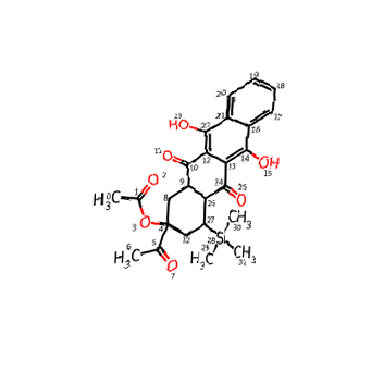 CC(=O)OC1(C(C)=O)CC2C(=O)c3c(c(O)c4ccccc4c3O)C(=O)C2C([Si](C)(C)C)C1